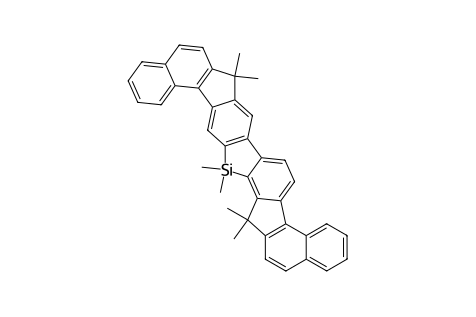 CC1(C)c2cc3c(cc2-c2c1ccc1ccccc21)[Si](C)(C)c1c-3ccc2c1C(C)(C)c1ccc3ccccc3c1-2